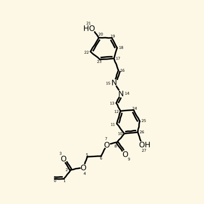 C=CC(=O)OCCOC(=O)c1cc(/C=N/N=C/c2ccc(O)cc2)ccc1O